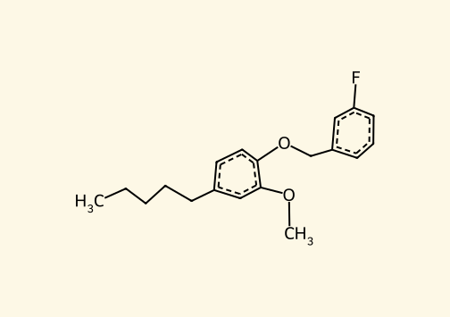 CCCCCc1ccc(OCc2cccc(F)c2)c(OC)c1